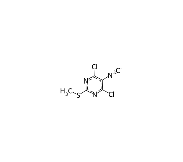 [C-]#[N+]c1c(Cl)nc(SC)nc1Cl